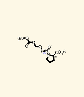 CC(C)(C)OC(=O)OCO/N=[N+](\[O-])N1CCC[C@H]1C(=O)O